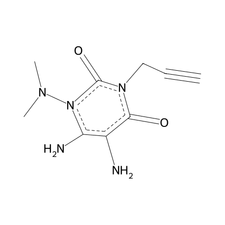 C#CCn1c(=O)c(N)c(N)n(N(C)C)c1=O